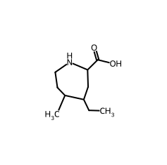 CCC1CC(C(=O)O)NCCC1C